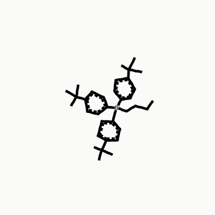 CCCC[B-](c1ccc(C(C)(C)C)cc1)(c1ccc(C(C)(C)C)cc1)c1ccc(C(C)(C)C)cc1